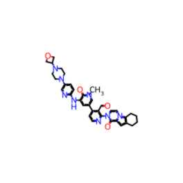 Cn1cc(-c2ccnc(-n3ccn4c5c(cc4c3=O)CCCC5)c2C=O)cc(Nc2ccc(N3CCN(C4COC4)CC3)cn2)c1=O